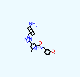 COc1cccc(CNC(=O)c2cc(-c3nnn(CC45C6C7C4C4C5C6C74N)n3)cc(C)n2)c1